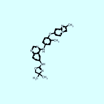 Cc1cn2ccc(Oc3ccc(Nc4ncnc5ccc(NC6=NC(C)(C)CO6)cc45)cc3C)cc2n1